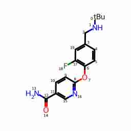 CC(C)(C)NCc1ccc(Oc2ccc(C(N)=O)cn2)c(F)c1